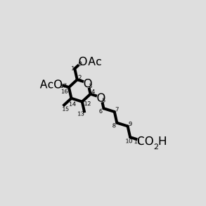 CC(=O)OCC1OC(OCCCCCC(=O)O)C(C)C(C)C1OC(C)=O